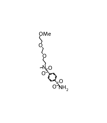 COCCOCCOCCN(C)S(=O)(=O)c1ccc(S(N)(=O)=O)cc1